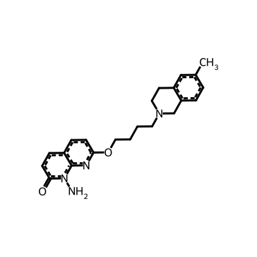 Cc1ccc2c(c1)CCN(CCCCOc1ccc3ccc(=O)n(N)c3n1)C2